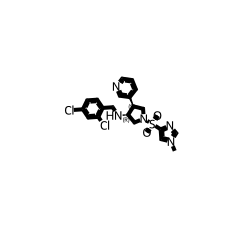 Cn1cnc(S(=O)(=O)N2C[C@H](NCc3ccc(Cl)cc3Cl)[C@@H](c3cccnc3)C2)c1